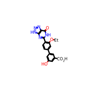 CCOc1cc(-c2cc(O)cc(C(=O)O)c2)ccc1-c1nc2[nH]nnc2c(=O)[nH]1